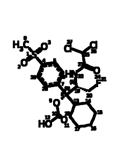 CS(=O)(=O)c1ccc([C@](OC(=O)O)(C2CCCCC2)[C@@H](CF)NC(=O)C(Cl)Cl)cc1